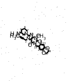 CC#CCn1c(N2CCCC(N)C2)nc2c1c(=O)n(Cc1ccc3c(c1)OCCO3)c(=O)n2C